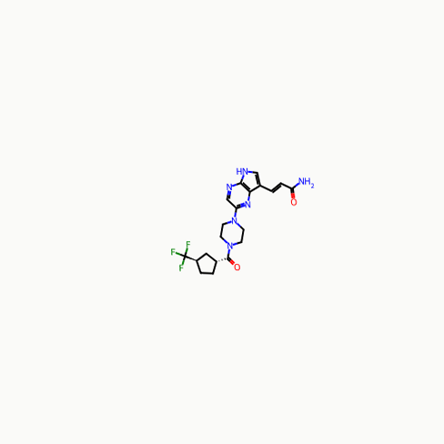 NC(=O)C=Cc1c[nH]c2ncc(N3CCN(C(=O)[C@@H]4CC[C@@H](C(F)(F)F)C4)CC3)nc12